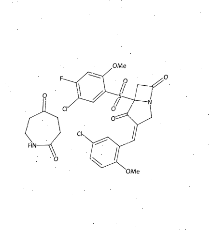 COc1ccc(Cl)cc1C=C1CN2C(=O)CC2(S(=O)(=O)c2cc(Cl)c(F)cc2OC)C1=O.O=C1CCNC(=O)CC1